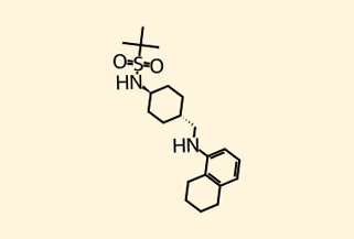 CC(C)(C)S(=O)(=O)N[C@H]1CC[C@H](CNc2cccc3c2CCCC3)CC1